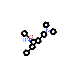 c1ccc(-c2ccc3c(c2)c2c(c4cc(-c5ccc(N(c6ccccc6)c6ccccc6)cc5)ccc43)OC(c3ccccc3)N2)cc1